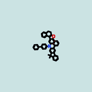 CC1(C)c2ccccc2-c2cc(-c3ccccc3)c(N(c3ccc(-c4ccccc4)cc3)c3ccc4oc5c(c4c3)-c3ccccc3CC5)cc21